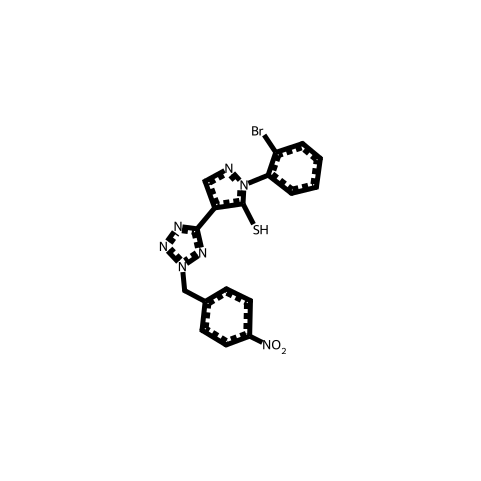 O=[N+]([O-])c1ccc(Cn2nnc(-c3cnn(-c4ccccc4Br)c3S)n2)cc1